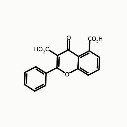 O=C(O)c1c(-c2ccccc2)oc2cccc(C(=O)O)c2c1=O